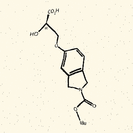 CC(C)(C)OC(=O)N1Cc2ccc(OC[C@@H](O)C(=O)O)cc2C1